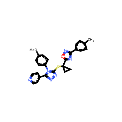 COc1ccc(-n2c(SC3(c4nc(-c5ccc(C)cc5)no4)CC3)nnc2-c2ccncc2)cc1